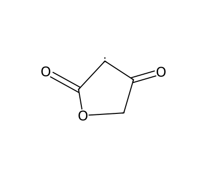 O=C1[CH]C(=O)OC1